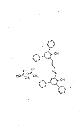 CC(=O)[O-].CC(=O)[O-].Oc1c(C=NCN=Cc2cc(-c3ccccc3)cc(-c3ccccc3)c2O)cc(-c2ccccc2)cc1-c1ccccc1.[Co+2]